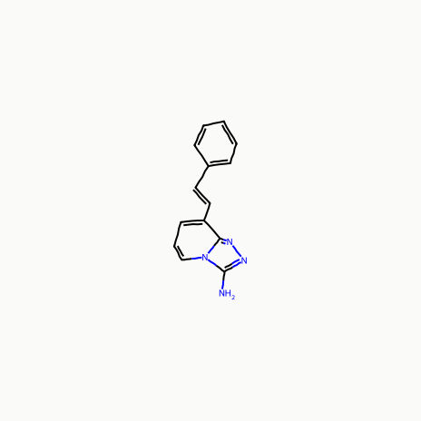 Nc1nnc2c(C=Cc3ccccc3)cccn12